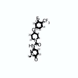 Cn1nc(NC(=O)N2CCC(Oc3ccc(C(F)(F)F)c(F)c3)CC2)ccc1=O